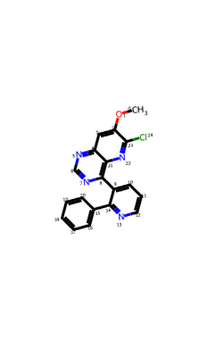 COc1cc2ncnc(-c3cccnc3-c3ccccc3)c2nc1Cl